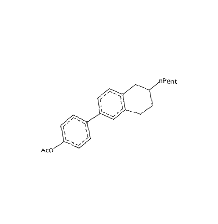 CCCCCC1CCc2cc(-c3ccc(OC(C)=O)cc3)ccc2C1